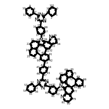 c1ccc(-c2nc(-c3ccccc3)nc(-c3ccc(-n4c5ccc6cccc7c6c5c5c(cc6cccnc6c54)-c4ccc(-c5ccc(-c6nc(-c8ccccc8)nc(-c8cccc(-n9c%10ccc%11cccc%12c%11c%10c%10c(cc%11cccnc%11c%109)-c9ccccc9-%12)c8)n6)cc5)cc4-7)cc3)n2)cc1